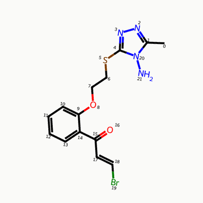 Cc1nnc(SCCOc2ccccc2C(=O)C=CBr)n1N